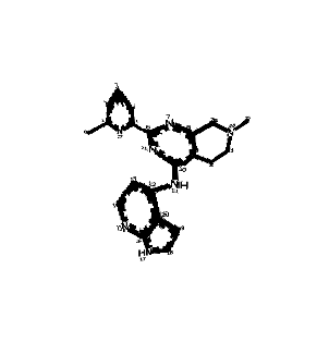 Cc1cccc(-c2nc3c(c(Nc4ccnc5[nH]ccc45)n2)CCN(C)C3)n1